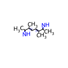 CC(=N)/C(C)=C/C=C(\C)C(C)=N